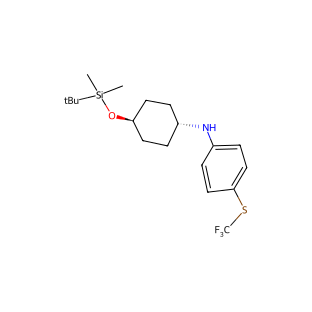 CC(C)(C)[Si](C)(C)O[C@H]1CC[C@H](Nc2ccc(SC(F)(F)F)cc2)CC1